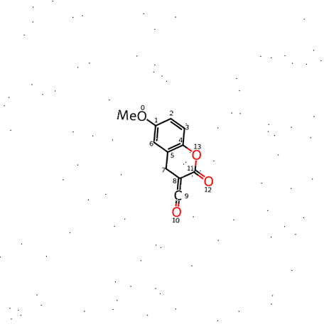 COc1ccc2c(c1)CC(=C=O)C(=O)O2